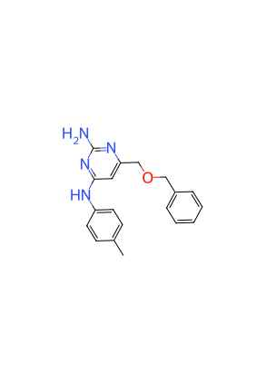 Cc1ccc(Nc2cc(COCc3ccccc3)nc(N)n2)cc1